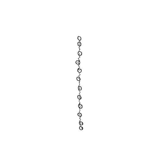 C(CCOCCCCOCCCCOCCCCOCCCCOCC1CO1)COCCCCOCCCCOCCCCOCCCCOCC1CO1